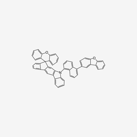 c1ccc2c(c1)Oc1ccccc1C21c2ccccc2-c2cc3c4ccccc4n(-c4cccc5c(-c6ccc7oc8ccccc8c7c6)cccc45)c3cc21